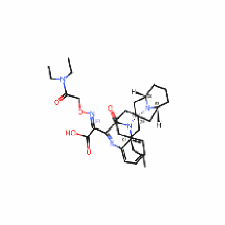 CCC[C@H]1CCC[C@H](N2[C@@H]3CCC[C@H]2C[C@@H](n2c(=O)c(/C(=N/OCC(=O)N(CC)CC)C(=O)O)nc4ccccc42)C3)C1